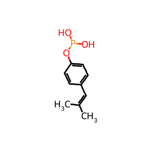 CC(C)=Cc1ccc(OP(O)O)cc1